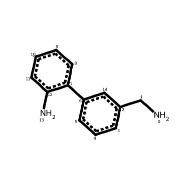 NCc1cccc(-c2cc[c]cc2N)c1